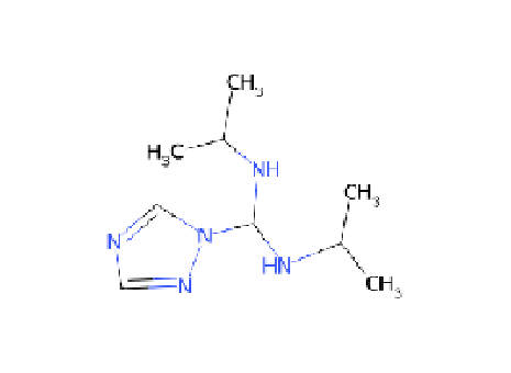 CC(C)NC(NC(C)C)n1cncn1